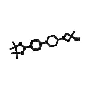 CC1(O)CN(C2CCN(c3ccc(B4OC(C)(C)C(C)(C)O4)cc3)CC2)C1